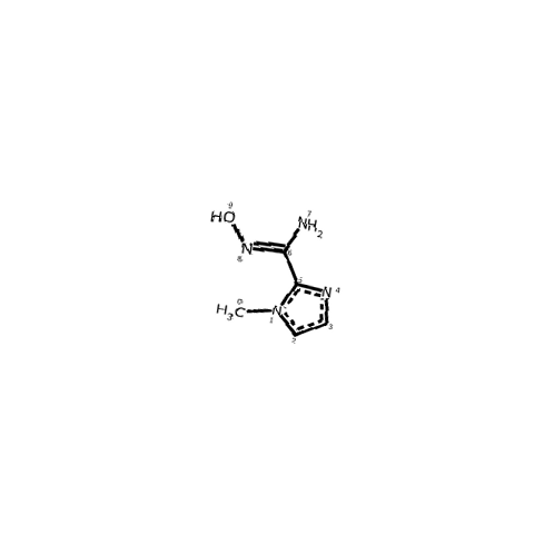 Cn1ccnc1/C(N)=N/O